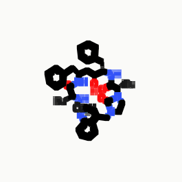 CCC(C)[C@H](NC(=O)O)C(=O)N[C@@H](Cc1ccccc1)C[C@H](O)[C@H](Cc1ccccc1)NC(=O)[C@H](C(C)CC)N1CCN(Cc2ccnc3ccccc23)C1=O